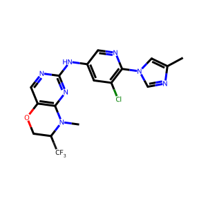 Cc1cn(-c2ncc(Nc3ncc4c(n3)N(C)C(C(F)(F)F)CO4)cc2Cl)cn1